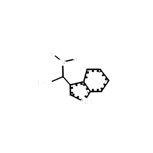 CC(C)N(C(C)C)C(C)c1c[nH]c2ccccc12